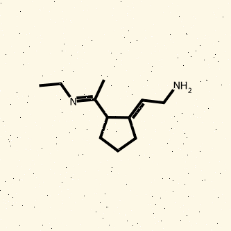 CCN=C(C)C1CCCC1=CCN